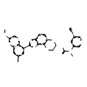 COc1cnc2c(-c3nc4ccc5c(c4s3)OC[C@@H](OC(=O)N(C)c3cncc(C#N)c3)O5)cc(C)cc2n1